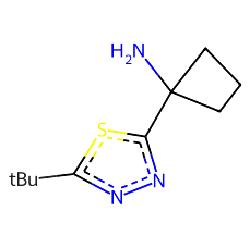 CC(C)(C)c1nnc(C2(N)CCC2)s1